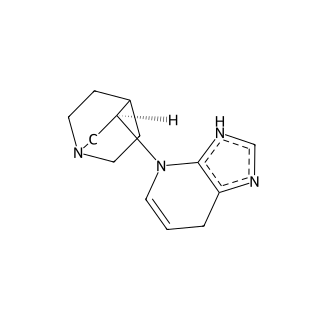 C1=CN([C@H]2CN3CCC2CC3)c2[nH]cnc2C1